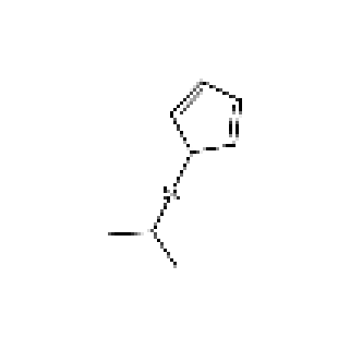 C[CH](C)[Sc][CH]1C=CC=C1